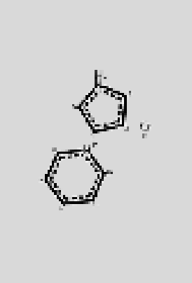 [Cr].c1cc[nH]c1.c1ccncc1